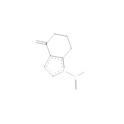 CB(O)n1ccc2c1CCCC2=O